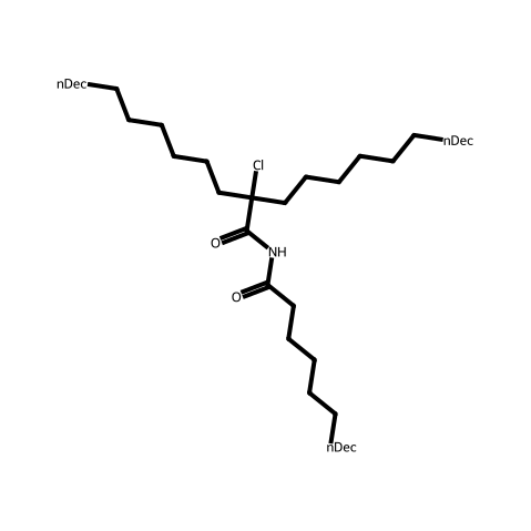 CCCCCCCCCCCCCCCCC(Cl)(CCCCCCCCCCCCCCCC)C(=O)NC(=O)CCCCCCCCCCCCCCC